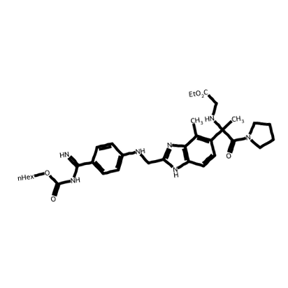 CCCCCCOC(=O)NC(=N)c1ccc(NCc2nc3c(C)c(C(C)(NCC(=O)OCC)C(=O)N4CCCC4)ccc3[nH]2)cc1